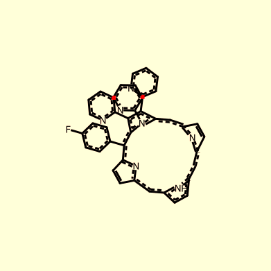 Fc1ccc(-c2c3nc(cc4ccc(cc5nc(cc6c(-c7ccccn7)c(-c7ccccn7)c2n6-c2ccccn2)C=C5)[nH]4)C=C3)cc1